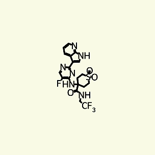 O=C(NCC(F)(F)F)C1(Nc2nc(-c3c[nH]c4ncccc34)ncc2F)CCS(=O)(=O)CC1